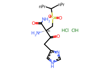 CCCC(CCC)S(=O)(=O)C[C@](N)(C(N)=O)C(=O)Cc1c[nH]cn1.Cl.Cl